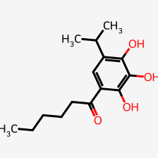 CCCCCC(=O)c1cc(C(C)C)c(O)c(O)c1O